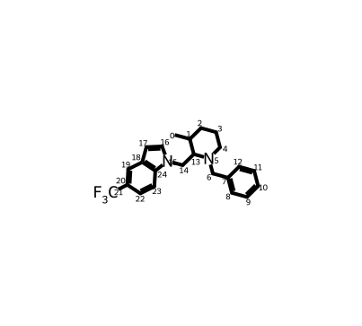 CC1CCCN(Cc2ccccc2)C1Cn1ccc2cc(C(F)(F)F)ccc21